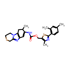 Cc1ccc(-c2nc(C)c(COC(=O)NC3=Cc4nc5n(c4CC3C)CCSC5)s2)c(C)c1